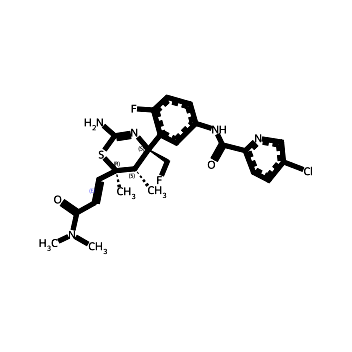 C[C@@H]1[C@@](C)(/C=C/C(=O)N(C)C)SC(N)=N[C@]1(CF)c1cc(NC(=O)c2ccc(Cl)cn2)ccc1F